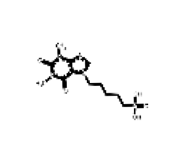 Cn1c(=O)c2c(ncn2CCCCCP(=O)(O)O)n(C)c1=O